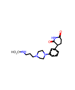 O=C(O)NCCCN1CCN(c2cccc(C3CCC(=O)NC3=O)c2)CC1